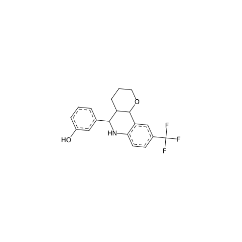 Oc1cccc(C2Nc3ccc(C(F)(F)F)cc3C3OCCCC23)c1